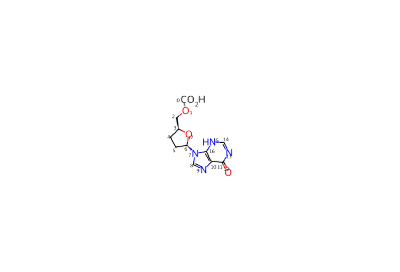 O=C(O)OC[C@@H]1CC[C@H](n2cnc3c(=O)nc[nH]c32)O1